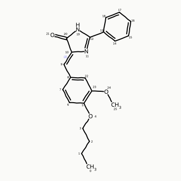 CCCCOc1ccc(/C=C2\N=C(c3ccccc3)NC2=O)cc1OC